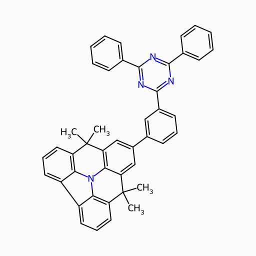 CC1(C)c2cc(-c3cccc(-c4nc(-c5ccccc5)nc(-c5ccccc5)n4)c3)cc3c2-n2c4c1cccc4c1cccc(c12)C3(C)C